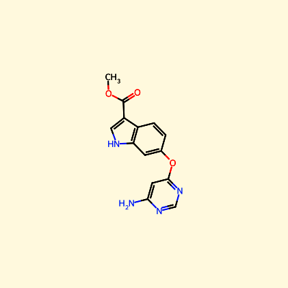 COC(=O)c1c[nH]c2cc(Oc3cc(N)ncn3)ccc12